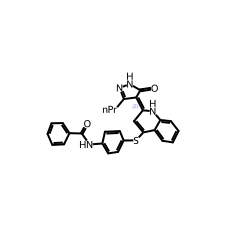 CCCC1=NNC(=O)/C1=C1/C=C(Sc2ccc(NC(=O)c3ccccc3)cc2)c2ccccc2N1